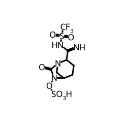 N=C(NS(=O)(=O)C(F)(F)F)C1CCC2CN1C(=O)N2OS(=O)(=O)O